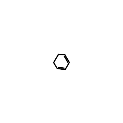 [C]1C=CC=CC1